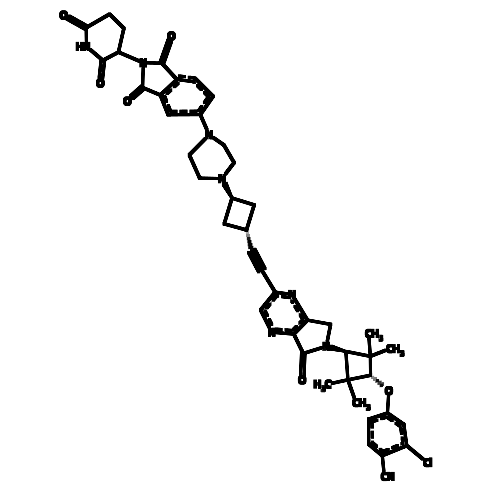 CC1(C)[C@H](Oc2ccc(C#N)c(Cl)c2)C(C)(C)[C@H]1N1Cc2nc(C#C[C@H]3C[C@H](N4CCN(c5ccc6c(c5)C(=O)N(C5CCC(=O)NC5=O)C6=O)CC4)C3)cnc2C1=O